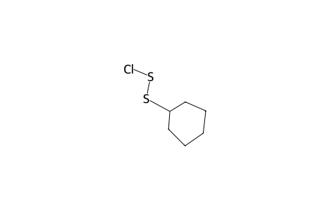 ClSSC1CCCCC1